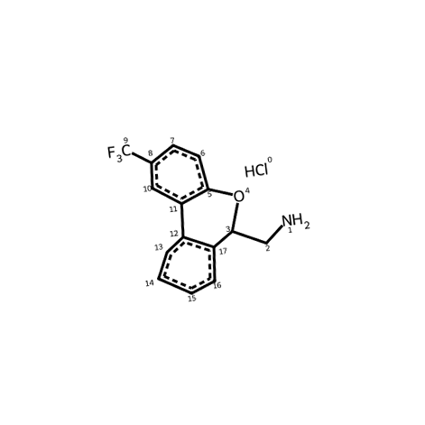 Cl.NCC1Oc2ccc(C(F)(F)F)cc2-c2ccccc21